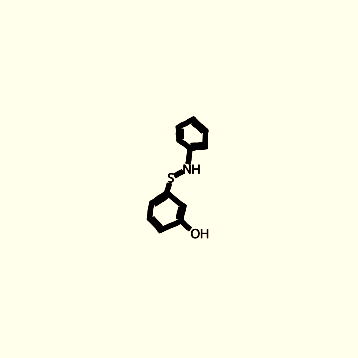 Oc1cccc(SNc2ccccc2)c1